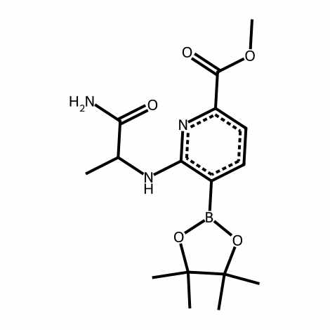 COC(=O)c1ccc(B2OC(C)(C)C(C)(C)O2)c(NC(C)C(N)=O)n1